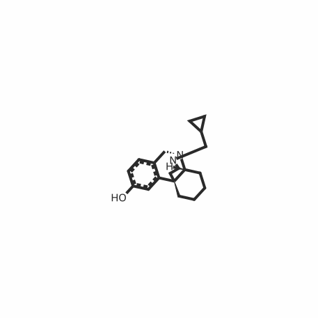 Oc1ccc2c(c1)[C@@]13CCCC[C@H]1[N@@](C2)N(CC1CC1)CC3